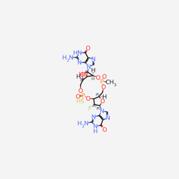 CP1(=O)OC[C@H]2O[C@@H](n3cnc4c(=O)[nH]c(N)nc43)[C@@H](F)C2OP(=O)(S)OC[C@H]2O[C@@H](n3cnc4c(=O)[nH]c(N)nc43)[C@@H](O1)C2O